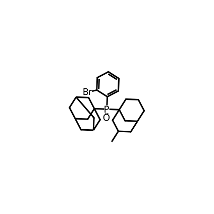 CC1CC2CCCC(P(=O)(c3ccccc3Br)C34CC5CC(CC(C5)C3)C4)(C1)C2